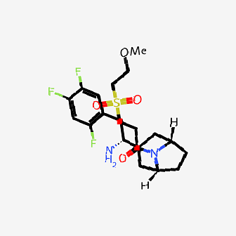 COCCS(=O)(=O)CCC(=O)N1[C@@H]2CC[C@H]1CC([C@H](N)Cc1cc(F)c(F)cc1F)C2